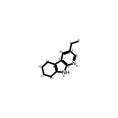 CCc1cnc2[nH]c3c(c2c1)CCCC3